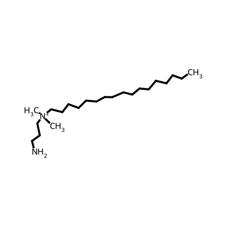 CCCCCCCCCCCCCCCCC[N+](C)(C)CCCN